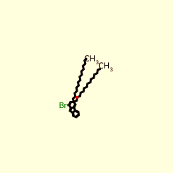 CCCCCCCCCCCCCCCCC1(CCCCCCCCCCCCCCCC)C=C(Br)C2=Cc3ccccc3C2=C1